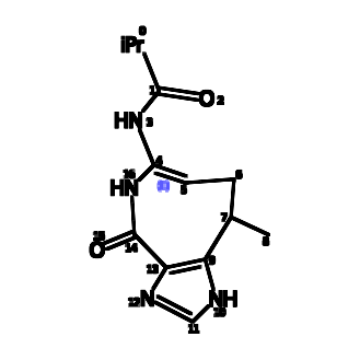 CC(C)C(=O)N/C1=C\CC(C)c2[nH]cnc2C(=O)N1